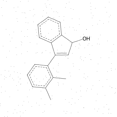 Cc1cccc(C2=CC(O)c3ccccc32)c1C